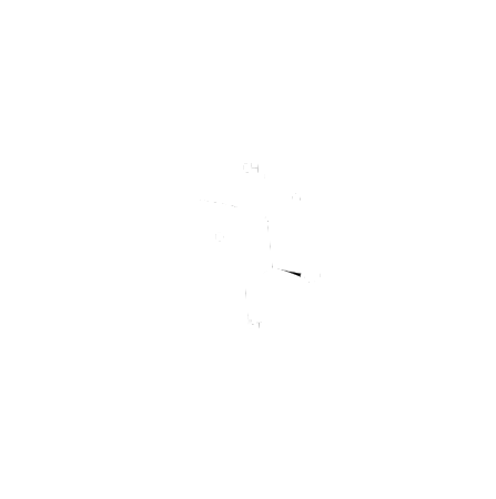 CC(C)C[C@H](C)C(=O)[C@]1(C)CO1